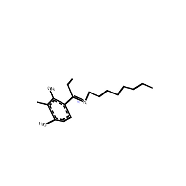 CCCCCCCC/N=C(\CC)c1ccc(O)c(C)c1O